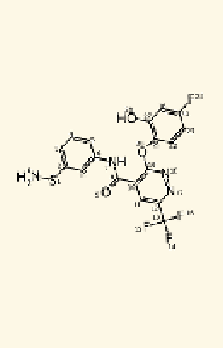 NSc1cccc(NC(=O)c2cc(C(F)(F)F)nnc2Oc2ccc(F)cc2O)c1